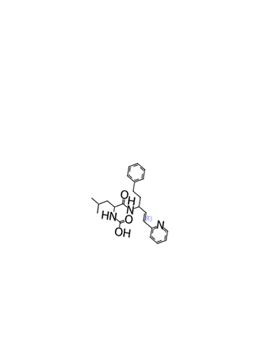 CC(C)CC(NC(=O)O)C(=O)NC(/C=C/c1ccccn1)CCc1ccccc1